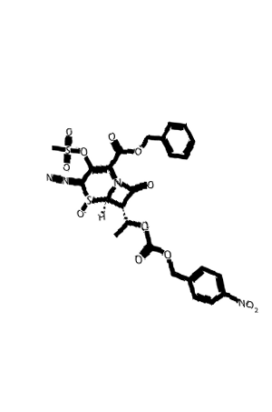 CC(OC(=O)OCc1ccc([N+](=O)[O-])cc1)[C@H]1C(=O)N2C(C(=O)OCc3ccccc3)=C(OS(C)(=O)=O)C(=[N+]=[N-])[S+]([O-])[C@H]12